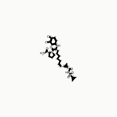 NC(=O)[C@@H]1CCCN1C(=O)[C@H](CCCCC/C=C\[C@@H]1C[C@@H]1C(=O)NS(=O)(=O)C1CC1)Nc1ccc(Cl)c(Cl)c1